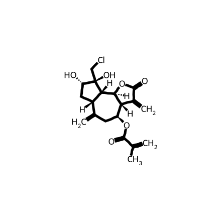 C=C(C)C(=O)O[C@H]1CC(=C)[C@@H]2C[C@H](O)[C@](O)(CCl)[C@@H]2[C@H]2OC(=O)C(=C)[C@@H]21